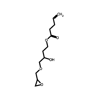 C=CCCC(=O)OCCC(O)COCC1CO1